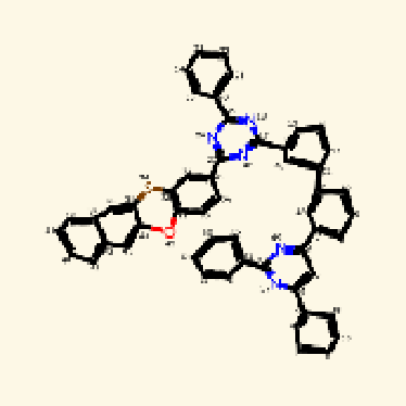 c1ccc(-c2cc(-c3cccc(-c4cccc(-c5nc(-c6ccccc6)nc(-c6ccc7c(c6)Sc6cc8ccccc8cc6O7)n5)c4)c3)nc(-c3ccccc3)n2)cc1